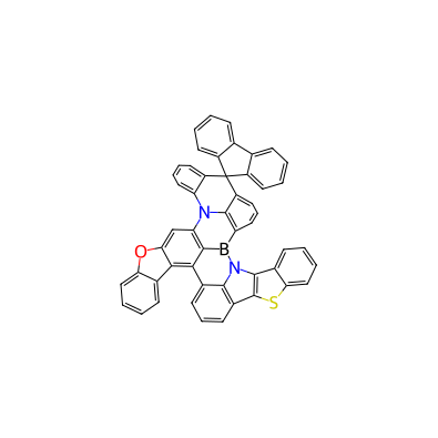 c1ccc2c(c1)-c1ccccc1C21c2ccccc2N2c3cc4oc5ccccc5c4c4c3B(c3cccc1c32)n1c2c-4cccc2c2sc3ccccc3c21